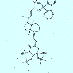 C=C1/C(=C\C=C2/CCC[C@]3(C)[C@@H]([C@H](C)/C=C/[C@@H](O[Si](c4ccccc4)(c4ccccc4)C(C)(C)C)C4CC4)CC[C@@H]23)C[C@@](O[Si](C)(C)C)(C(C)(C)C)C(O[Si](C)(C)C)[C@H]1C(C)(C)C